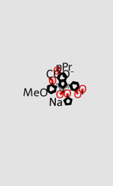 CCCOc1ccc2c(c1)[C@@H](c1ccc(OC)cc1OCC(=O)[O-])[C@H](C(=O)OC1CCCC1)[C@H]2c1ccc2c(c1)OCO2.[Na+]